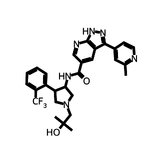 Cc1cc(-c2n[nH]c3ncc(C(=O)NC4CN(CC(C)(C)O)CC4c4ccccc4C(F)(F)F)cc23)ccn1